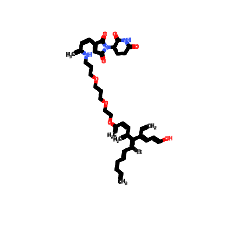 C=C\C=C/C=C/C(CC)=C(C(=C)/C=C\C(=C)OCCOCCCOCCCNC(=C)/C=C\C1=CC(=O)N(C2CCC(=O)NC2=O)C1=O)/C(C=C)=C/C=C/O